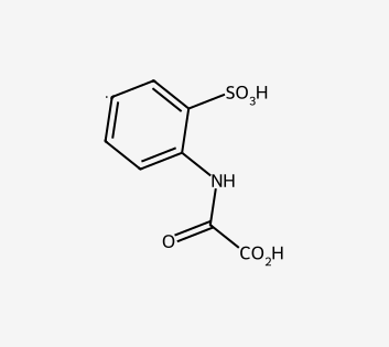 O=C(O)C(=O)Nc1cc[c]cc1S(=O)(=O)O